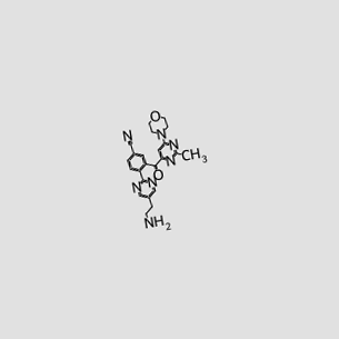 Cc1nc(C(=O)c2cc(C#N)ccc2-c2ncc(CCN)cn2)cc(N2CCOCC2)n1